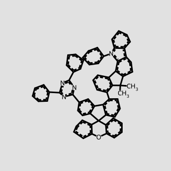 CC1(C)c2ccc3c4ccccc4n(-c4ccccc4)c3c2-c2cccc(-c3cccc4c3-c3cc(-c5nc(-c6ccccc6)nc(-c6ccccc6)n5)ccc3C43c4ccccc4Oc4ccccc43)c21